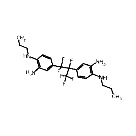 CCCNc1ccc(C(F)(F)C(F)(c2ccc(NCCC)c(N)c2)C(F)(F)F)cc1N